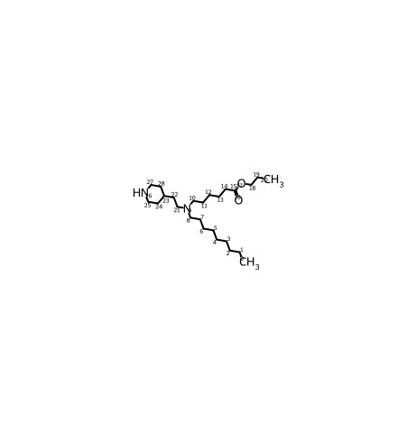 CCCCCCCCCN(CCCCCC(=O)OCCC)CCC1CCNCC1